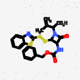 C=C(C)C(C(=O)O)N1C(=O)C(NC(=O)OCc2ccccc2)C1SSc1nc2ccccc2s1